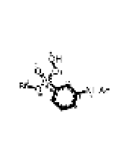 CC(=O)Nc1cccc([As](=O)(OO)OBr)c1